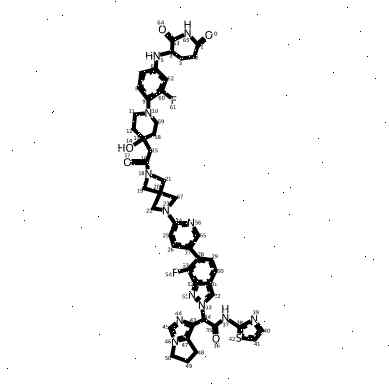 O=C1CCC(Nc2ccc(N3CCC(O)(CC(=O)N4CC5(C4)CN(c4ccc(-c6ccc7cn(C(C(=O)Nc8nccs8)c8ncn9c8CCC9)nc7c6F)cn4)C5)CC3)c(F)c2)C(=O)N1